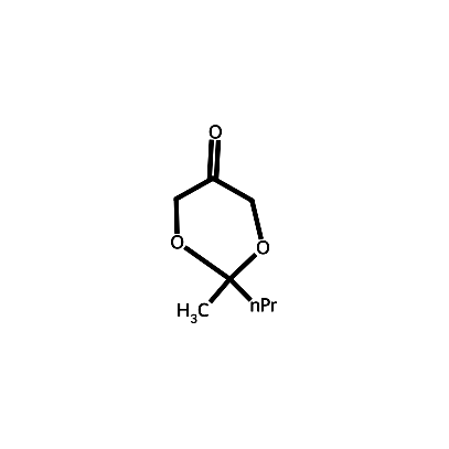 CCCC1(C)OCC(=O)CO1